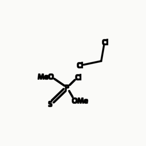 COP(=S)(Cl)OC.ClCCl